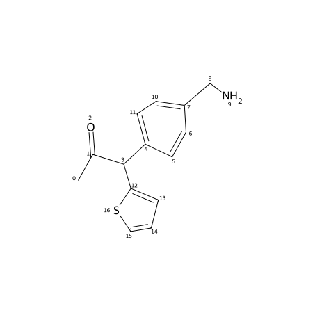 CC(=O)C(c1ccc(CN)cc1)c1cc[c]s1